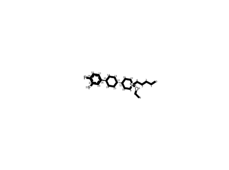 CCCCC[Si]1(OCC)CCC([C@H]2CC[C@H](c3ccc(F)c(F)c3)CC2)CC1